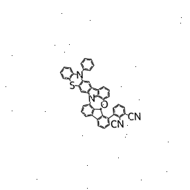 N#Cc1cccc(-c2cccc3c2C(=O)c2c-3cccc2-n2c3ccccc3c3cc4c(cc32)Sc2ccccc2N4c2ccccc2)c1C#N